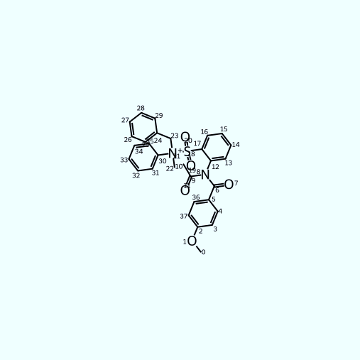 COc1ccc(C(=O)N(C(C)=O)c2ccccc2S(=O)(=O)[N+](C)(Cc2ccccc2)c2ccccc2)cc1